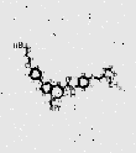 CCCCOCCOc1ccc(-c2ccc3c(c2)C=C(C(=O)Nc2ccc(SCc4ncnn4C)cc2)CCN3CC(C)C)cc1